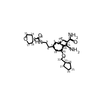 NC(=O)c1sc2cc(CCNC(=O)N3CCOCC3)cc(OCC3CCCC3)c2c1N